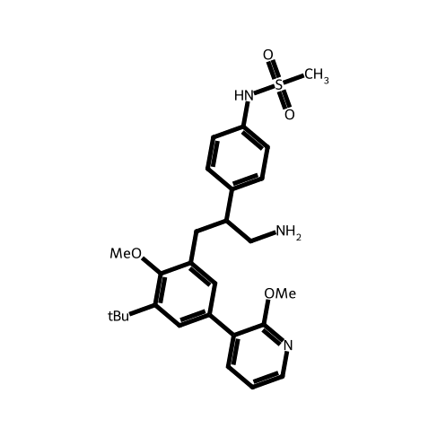 COc1ncccc1-c1cc(CC(CN)c2ccc(NS(C)(=O)=O)cc2)c(OC)c(C(C)(C)C)c1